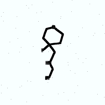 CC(C)CNCC1(F)CCOCC1